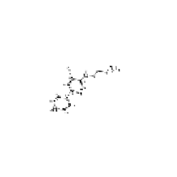 NCCCOc1ccc(-c2ccncc2)cc1F